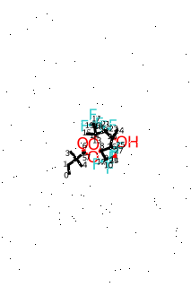 CCC(C)(C)C(=O)OC1(C(F)(F)F)OC(C)(C(F)(F)F)C(F)(F)C(C)(O)C1(F)F